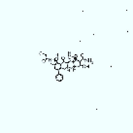 NC(=O)C1=C(O)C[C@@H]2C[C@@H]3Cc4c(-c5ccccc5)cc(CNC(=O)CCl)c(O)c4C(=O)C3=C(O)[C@]2(O)C1=O